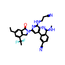 CCc1cc2c(c(C(C)(F)F)c1)CN(c1cc(-c3cc(C#N)ccc3C(=N)NC)cc(NCCC#N)n1)C2=O